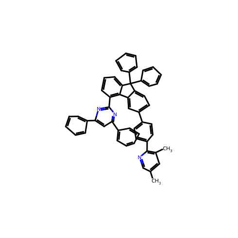 Cc1cnc(-c2ccc(-c3ccc4c(c3)-c3c(-c5nc(-c6ccccc6)cc(-c6ccccc6)n5)cccc3C4(c3ccccc3)c3ccccc3)cc2)c(C)c1